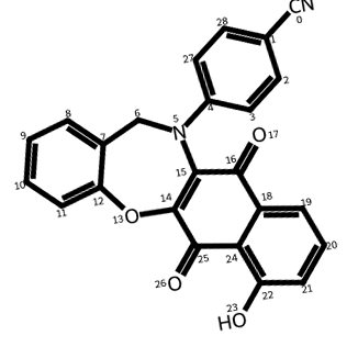 N#Cc1ccc(N2Cc3ccccc3OC3=C2C(=O)c2cccc(O)c2C3=O)cc1